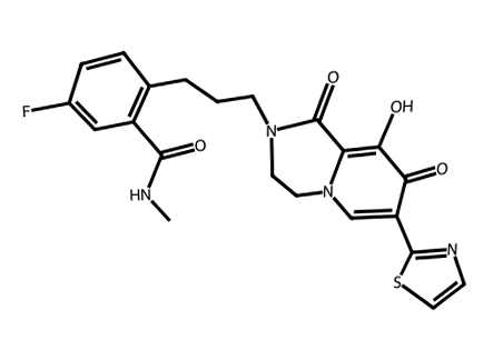 CNC(=O)c1cc(F)ccc1CCCN1CCn2cc(-c3nccs3)c(=O)c(O)c2C1=O